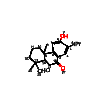 CC(C)c1cc2c(cc1O)C1(C)CCCC(C)(C=O)C1CC2=O